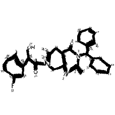 Cc1nc2c(c(=O)n1C(c1ccccc1)c1ccccc1)CCN(C(=O)C(O)c1cccc(F)c1)C2